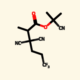 CC(C(=O)OC(C)(C)C#N)C(C#N)(C#N)CCC(F)(F)F